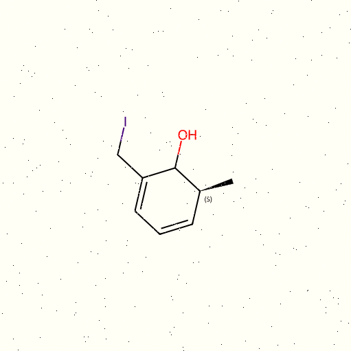 C[C@H]1C=CC=C(CI)C1O